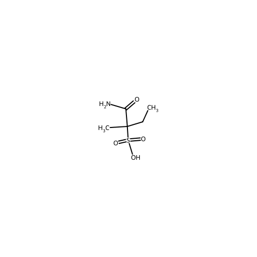 CCC(C)(C(N)=O)S(=O)(=O)O